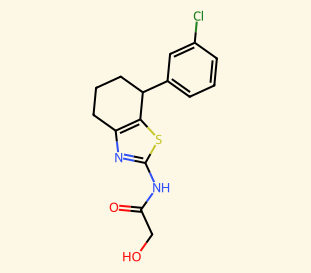 O=C(CO)Nc1nc2c(s1)C(c1cccc(Cl)c1)CCC2